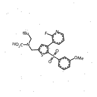 COc1cccc(S(=O)(=O)c2sc(CN(CC(C)(C)C)C(=O)O)cc2-c2cccnc2F)c1